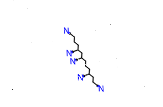 N#CCCCC(C#N)CC(C#N)CCCC(C#N)CCC#N